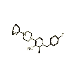 C=C1C(C#N)=C(N2CCN(c3ccccn3)CC2)C=CN1Cc1ccc(F)cc1